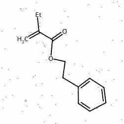 C=C(CC)C(=O)OCCc1ccccc1